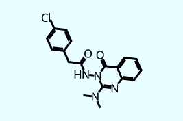 CN(C)c1nc2ccccc2c(=O)n1NC(=O)Cc1ccc(Cl)cc1